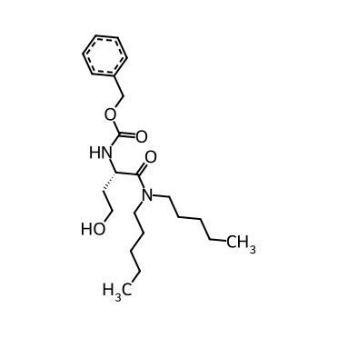 CCCCCN(CCCCC)C(=O)[C@H](CCO)NC(=O)OCc1ccccc1